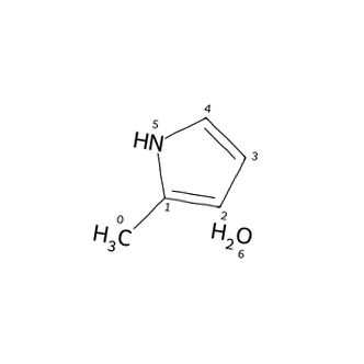 Cc1ccc[nH]1.O